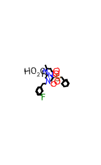 CC1CC(=O)N2[C@@H](CN(CCc3cccc(F)c3)C(=O)[C@@H]2S(=O)(=O)Cc2ccccc2)N1C(=O)O